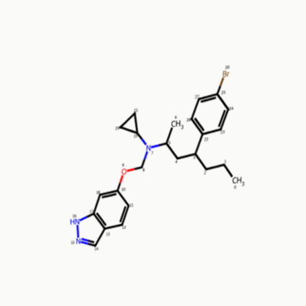 CCCC(CC(C)N(COc1ccc2cn[nH]c2c1)C1CC1)c1ccc(Br)cc1